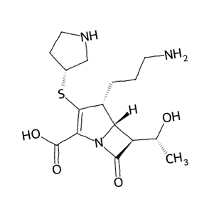 C[C@@H](O)[C@H]1C(=O)N2C(C(=O)O)=C(S[C@@H]3CCNC3)[C@H](CCCN)[C@H]12